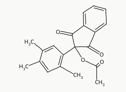 CC(=O)OC1(c2cc(C)c(C)cc2C)C(=O)c2ccccc2C1=O